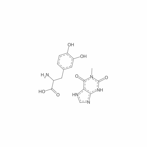 Cn1c(=O)[nH]c2nc[nH]c2c1=O.NC(Cc1ccc(O)c(O)c1)C(=O)O